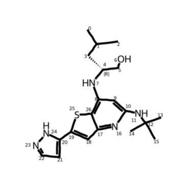 CC(C)C[C@H](CO)Nc1cc(NC(C)(C)C)nc2cc(-c3ccn[nH]3)sc12